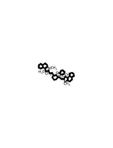 CN1/C(=C/C=C2\CCCC(/C=C/C3=[N+](C)c4ccc5ccccc5c4C3(C)C)=C2Oc2ccccc2)C(C)(C)c2c1ccc1ccccc21